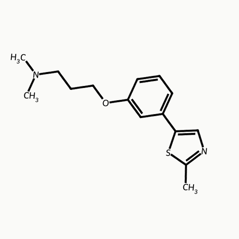 Cc1ncc(-c2cccc(OCCCN(C)C)c2)s1